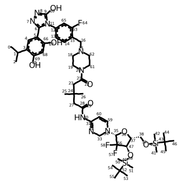 CC(C)c1cc(-c2nnc(O)n2-c2ccc(CN3CCN(C(=O)CC(C)(C)CC(=O)NC4=NCN([C@@H]5O[C@H](CO[Si](C)(C)C(C)(C)C)[C@@H](O[Si](C)(C)C(C)(C)C)C5(F)F)C=C4)CC3)c(F)c2)c(O)cc1O